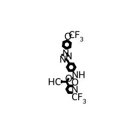 C#CC(OC(=O)Nc1ccc(-c2ncn(-c3ccc(OC(F)(F)F)cc3)n2)cc1)c1ccc(C(F)(F)F)nc1